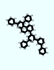 c1ccc(-c2cccc(-c3cc(-c4cccc5c4ccc4nc(-c6ccccc6)cc(-c6ccccc6)c45)cc(-c4ccccc4)n3)c2)cc1